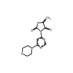 C=C1SC(=O)N(c2cc(N3CCOCC3)ncn2)C1=O